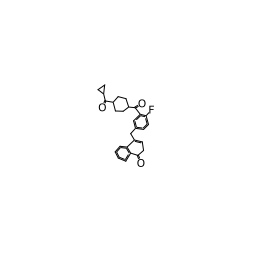 O=C1CC=C(Cc2ccc(F)c(C(=O)C3CCC(C(=O)C4CC4)CC3)c2)c2ccccc21